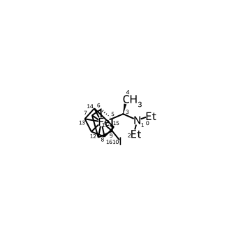 CCN(CC)[C@H](C)[C@@]12[CH]3[CH]4[CH]5[C]1(I)[Fe]45321678[CH]2[CH]1[CH]6[CH]7[CH]28